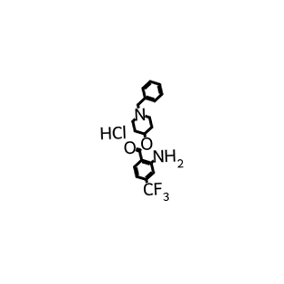 Cl.Nc1cc(C(F)(F)F)ccc1C(=O)OC1CCN(Cc2ccccc2)CC1